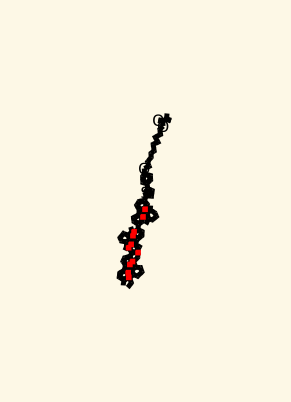 C=C(C)C(=O)OCCCCCCCCCCOc1ccc(-c2ccc(-c3ccc4c(c3)C3(c5cc(-c6ccc7c(c6)C6(c8cc(-c9ccc%10c(c9)C9(c%11cc(C)ccc%11-%10)C%10(CCC)CCCC9(CCC)CCC%10)ccc8-7)C7(CC)CCCC6(CC)CCC7)ccc5-4)C4(C)CCCC3(C)CCC4)s2)cc1